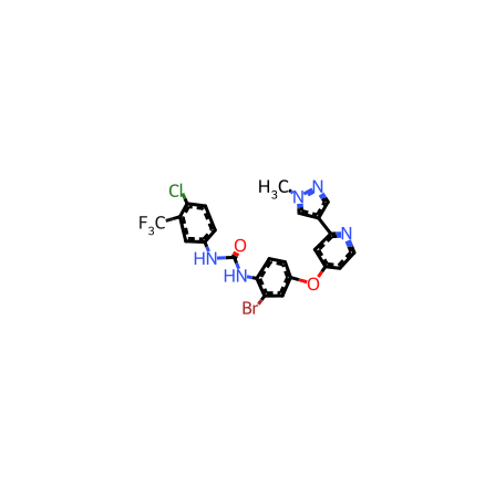 Cn1cc(-c2cc(Oc3ccc(NC(=O)Nc4ccc(Cl)c(C(F)(F)F)c4)c(Br)c3)ccn2)cn1